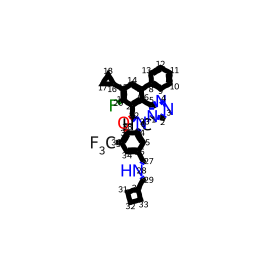 Cn1cnnc1-c1c(-c2ccccc2)cc(C2CC2)c(F)c1-c1nc2cc(CNCC3CCC3)cc(C(F)(F)F)c2o1